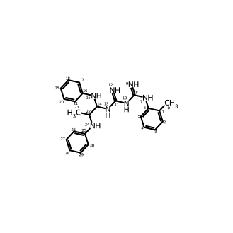 Cc1ccccc1NC(=N)NC(=N)NC(Nc1ccccc1)C(C)Nc1ccccc1